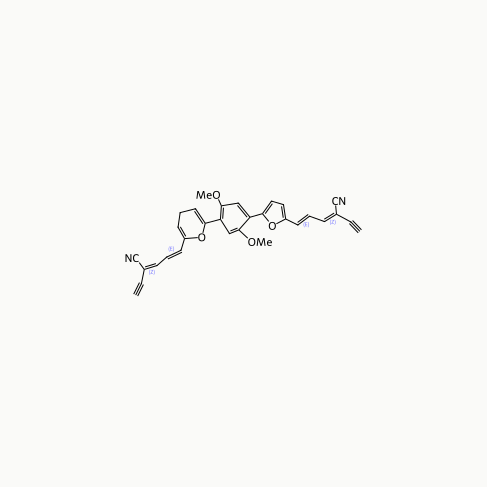 C#C/C(C#N)=C/C=C/C1=CCC=C(c2cc(OC)c(-c3ccc(/C=C/C=C(/C#C)C#N)o3)cc2OC)O1